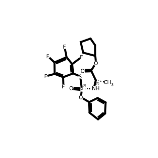 C[C@H](N[P@@](=O)(Oc1ccccc1)Sc1c(F)c(F)c(F)c(F)c1F)C(=O)OC1CCCC1